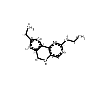 CCNc1ncc2c(n1)-c1sc(CC)nc1CO2